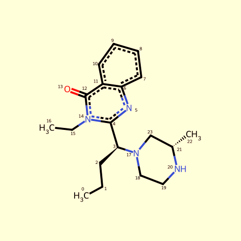 CCC[C@@H](c1nc2ccccc2c(=O)n1CC)N1CCN[C@@H](C)C1